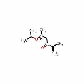 C=[C](C)[Co](=[O])[CH2][SiH](C)OC(C)C